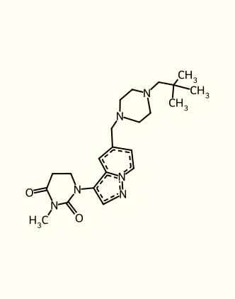 CN1C(=O)CCN(c2cnn3ccc(CN4CCN(CC(C)(C)C)CC4)cc23)C1=O